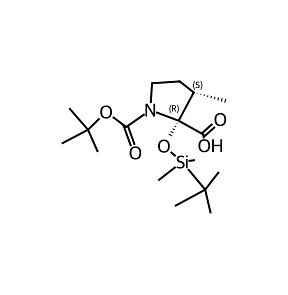 C[C@H]1CCN(C(=O)OC(C)(C)C)[C@]1(O[Si](C)(C)C(C)(C)C)C(=O)O